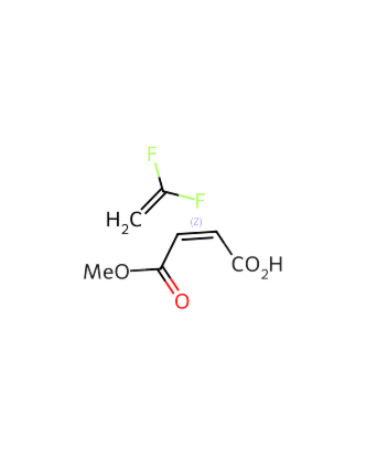 C=C(F)F.COC(=O)/C=C\C(=O)O